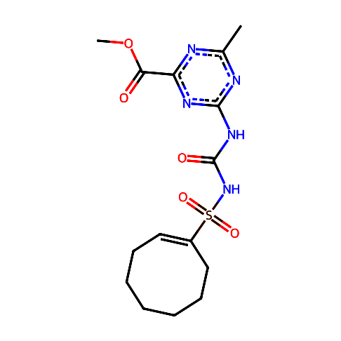 COC(=O)c1nc(C)nc(NC(=O)NS(=O)(=O)/C2=C/CCCCCC2)n1